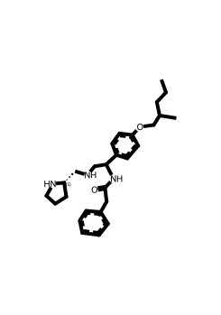 CCCC(C)COc1ccc(C(CNC[C@@H]2CCCN2)NC(=O)Cc2ccccc2)cc1